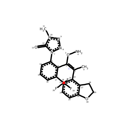 C/C(=C(\ON)c1c(-n2nnn(C)c2=O)cccc1C(F)(F)F)c1cccc2c1CCO2